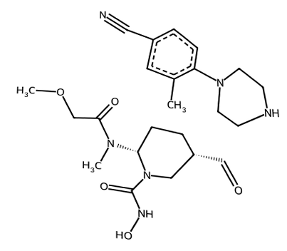 COCC(=O)N(C)[C@@H]1CC[C@H](C=O)CN1C(=O)NO.Cc1cc(C#N)ccc1N1CCNCC1